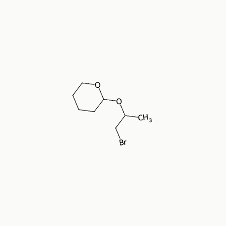 CC(CBr)OC1CCCCO1